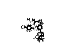 COC(C)(c1nnc(-c2ccc3c(c2)N(Cc2ccc(Cl)cc2)C[C@@H](N)CS3(=O)=O)o1)C(F)(F)F